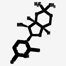 CC1(C)OC[C@H]2O[C@@H](n3ccc(=O)[nH]c3=O)[C@H](O)[C@H]2O1